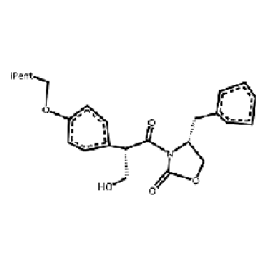 CCCC(C)COc1ccc([C@@H](CO)C(=O)N2C(=O)OC[C@H]2Cc2ccccc2)cc1